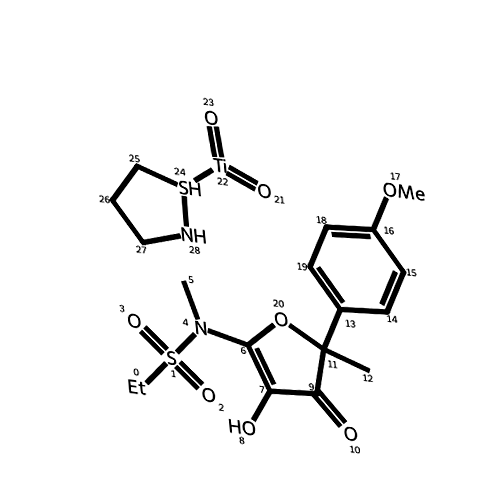 CCS(=O)(=O)N(C)C1=C(O)C(=O)C(C)(c2ccc(OC)cc2)O1.[O]=[Ti](=[O])[SH]1CCCN1